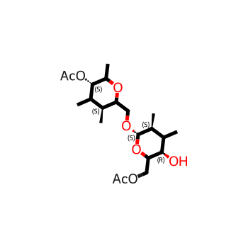 CC(=O)OCC1O[C@H](OCC2OC(C)[C@@H](OC(C)=O)C(C)[C@@H]2C)[C@@H](C)C(C)[C@H]1O